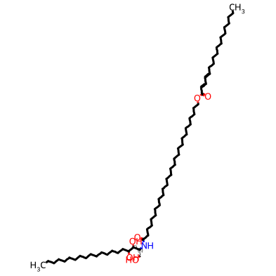 CCCCCCCCCCCCCC=CC=CC(=O)OCCCCCCCCCCCCCCCCCCCCCCCCCCCC(=O)N[C@H](CO)[C@H](O)C(O)CCCCCCCCCCCCCCCC